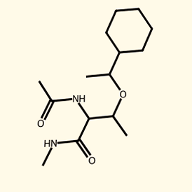 CNC(=O)C(NC(C)=O)C(C)OC(C)C1CCCCC1